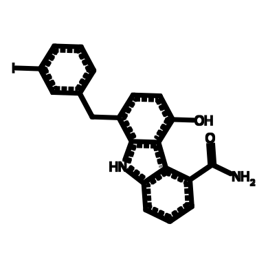 NC(=O)c1cccc2[nH]c3c(Cc4cccc(I)c4)ccc(O)c3c12